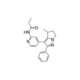 CCC(=O)Nc1cc(-c2c(-c3ccccc3)nn3c2C(C)CC3)ccn1